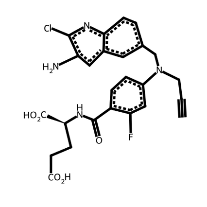 C#CCN(Cc1ccc2nc(Cl)c(N)cc2c1)c1ccc(C(=O)N[C@@H](CCC(=O)O)C(=O)O)c(F)c1